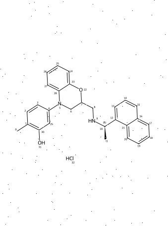 Cc1ccc(N2CC(CN[C@H](C)c3cccc4ccccc34)Oc3ccccc32)cc1O.Cl